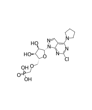 O=P(O)(O)COC[C@H]1O[C@@H](n2ncc3c(N4CCCC4)nc(Cl)nc32)[C@H](O)[C@@H]1O